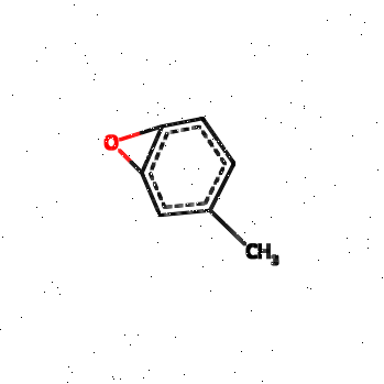 Cc1ccc2c(c1)O2